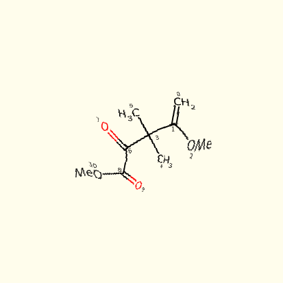 C=C(OC)C(C)(C)C(=O)C(=O)OC